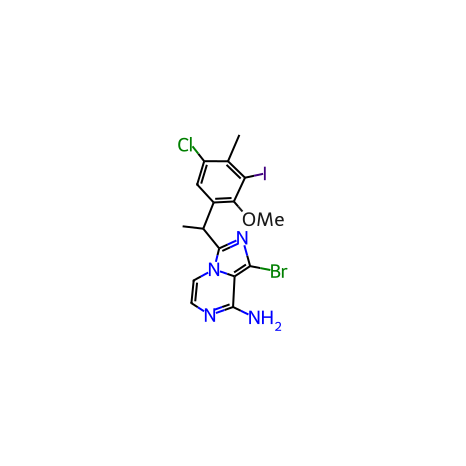 COc1c(C(C)c2nc(Br)c3c(N)nccn23)cc(Cl)c(C)c1I